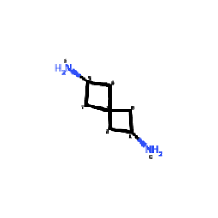 N[C@H]1CC2(C[C@H](N)C2)C1